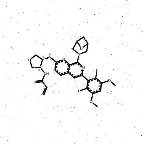 C=CC(=O)N[C@H]1COC[C@H]1Nc1ncc2cc(-c3c(F)c(OC)cc(OC)c3F)nc(N3CC4CC(C3)O4)c2n1